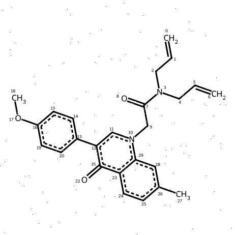 C=CCN(CC=C)C(=O)Cn1cc(-c2ccc(OC)cc2)c(=O)c2ccc(C)cc21